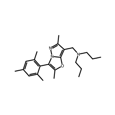 CCCN(CCC)Cc1c(C)nn2c(-c3c(C)cc(C)cc3C)c(C)oc12